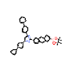 CC1(C)OB(c2ccc3cc4cc(-c5nc(-c6ccc(-c7ccccc7)cc6)cc(-c6ccc(-c7ccccc7)cc6)n5)ccc4cc3c2)OC1(C)C